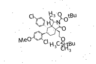 COc1ccc([C@@H]2CC[C@@]3(CCO[Si](C)(C)C(C)(C)C)C(=O)N(C(=O)OC(C)(C)C)[C@H](C)[C@H]3[C@H]2c2ccc(Cl)cc2)c(Cl)c1